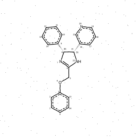 c1ccc(OCC2=N[C@H](c3ccccc3)[C@H](c3cccnc3)N2)cc1